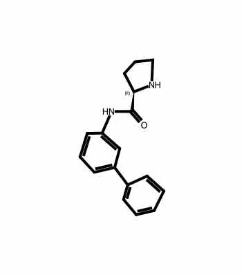 O=C(Nc1cccc(-c2ccccc2)c1)[C@H]1CCCN1